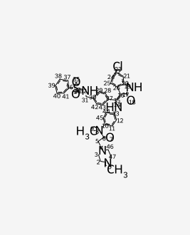 CN1CCN(CC(=O)N(C)c2ccc(N/C(=C3\C(=O)Nc4cc(Cl)ccc43)c3ccc(CNS(=O)(=O)c4ccccc4)cc3)cc2)CC1